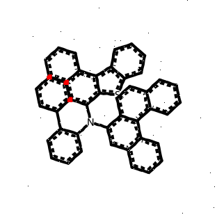 c1ccc(-c2ccccc2N(c2cc3ccccc3c3c2ccc2ccccc23)c2cc3ccccc3c3c2sc2ccccc23)cc1